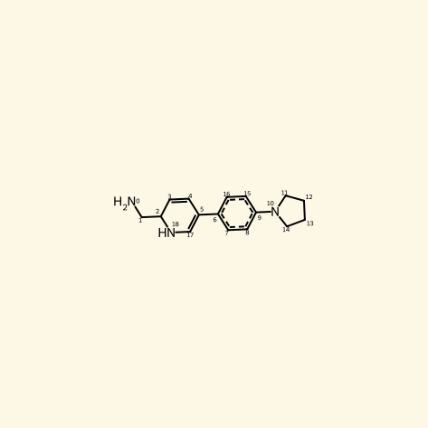 NCC1C=CC(c2ccc(N3CCCC3)cc2)=CN1